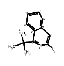 CC(C)(C)c1nc(Cl)cc2ccccc12